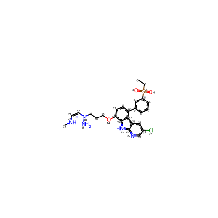 CCS(=O)(=O)c1cccc(-c2ccc(OCCCN(N)/C=C\NC)c3[nH]c4ncc(Cl)cc4c23)c1